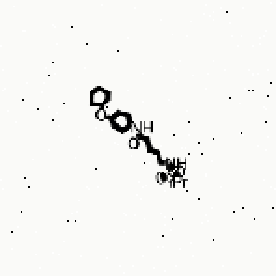 CC(C)S(=O)(=O)NCCCCC(=O)Nc1ccc(OC2CCCCC2)cc1